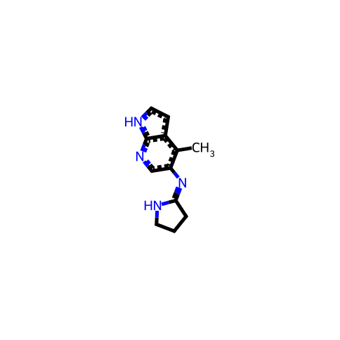 Cc1c(N=C2CCCN2)cnc2[nH]ccc12